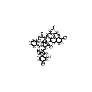 CCOC(CN(CC(F)F)C(=O)C(Cc1ccc(Cl)cc1)NC(=O)C(CNS(=O)(=O)c1ccc(Cl)cc1Cl)N(Cc1ccccc1)C(=O)O)OCC